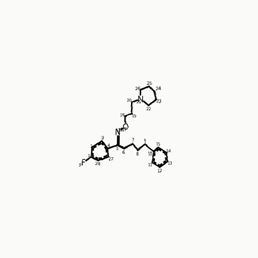 Fc1ccc(C(CCCCc2ccccc2)=NOCCCN2CCCCC2)cc1